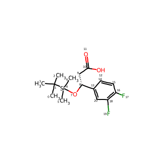 CC(C)(C)[Si](C)(C)O[C@H](CC(=O)O)c1ccc(F)c(F)c1